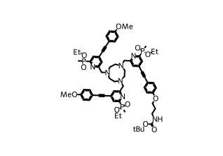 CCOP(C)(=O)c1cc(C#Cc2ccc(OC)cc2)cc(CN2CCN(Cc3cc(C#Cc4ccc(OC)cc4)cc(P(C)(=O)OCC)n3)CCN(Cc3cc(C#Cc4ccc(OCCCNC(=O)OC(C)(C)C)cc4)cc(P(C)(=O)OCC)n3)CC2)n1